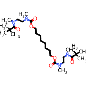 CN(CCN(C)C(=O)C(C)(C)C)C(=O)OCCCCCCCCOC(=O)N(C)CCN(C)C(=O)C(C)(C)C